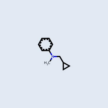 CN(CC1CC1)c1ccccc1